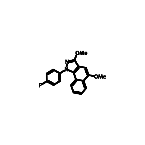 COc1cc2c(OC)nn(-c3ccc(F)cc3)c2c2ccccc12